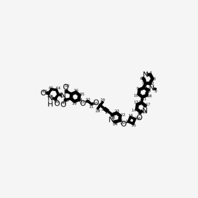 Cn1c2ccncc2c2ccc(-c3ccc(O[C@H]4C[C@H](Oc5ccc(C#CC(C)(C)OCCOc6ccc7c(c6)C(=O)N(C6CCC(=O)NC6=O)C7=O)nc5)C4)nc3)cc21